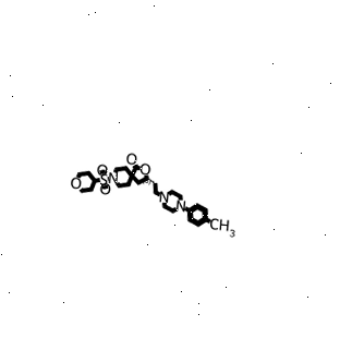 Cc1ccc(N2CCN(CC[C@@H]3CC4(CCN(S(=O)(=O)C5CCOCC5)CC4)C(=O)O3)CC2)cc1